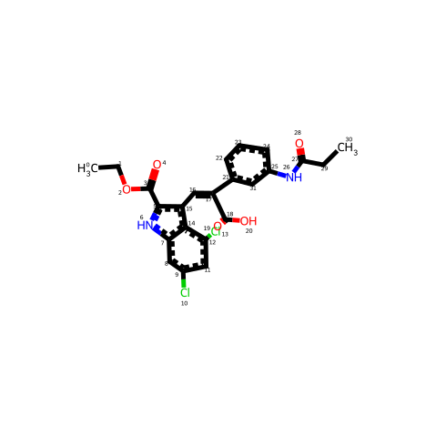 CCOC(=O)c1[nH]c2cc(Cl)cc(Cl)c2c1C=C(C(=O)O)c1cccc(NC(=O)CC)c1